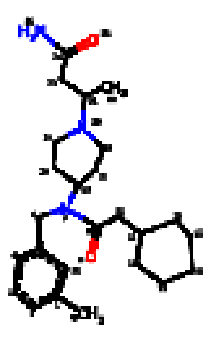 Cc1cccc(CN(C(=O)CC2CCCCC2)C2CCN(C(C)CC(N)=O)CC2)c1